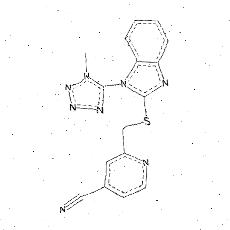 Cn1nnnc1-n1c(SCc2cc(C#N)ccn2)nc2ccccc21